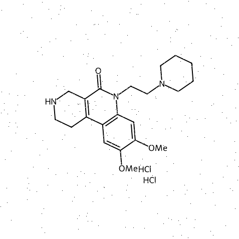 COc1cc2c3c(c(=O)n(CCN4CCCCC4)c2cc1OC)CNCC3.Cl.Cl